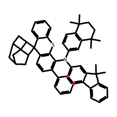 CC1(C)CCC(C)(C)c2cc(N(c3ccc4c(c3)C(C)(C)c3ccccc3-4)c3c(-c4ccccc4)ccc4c3Sc3ccccc3C43C4CC5CC6CC3C64C5)ccc21